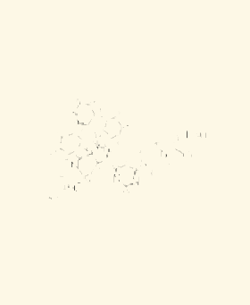 CC(C)(C)OC(=O)N1CCN(c2cc(-c3nn(C(c4ccccc4)(c4ccccc4)c4ccccc4)c4cnc(OC5(C)CC5)cc34)ncn2)CC1